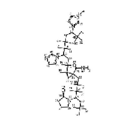 C[n+]1ccn(C(CC(C)(C)C(C)(C)C(CC(C)(C)C2(C)CC2(CC(C)(C)C(C)(C)C(CC(C)(C)C)N2CCCC2=O)C(N)=O)n2ccnc2)C(C)(C)C)c1